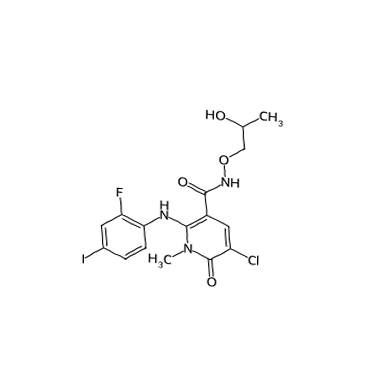 CC(O)CONC(=O)c1cc(Cl)c(=O)n(C)c1Nc1ccc(I)cc1F